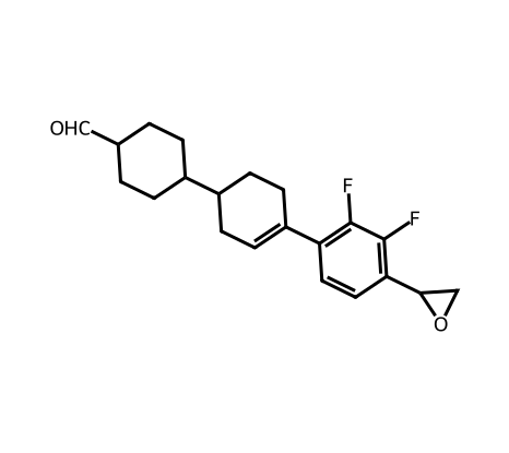 O=CC1CCC(C2CC=C(c3ccc(C4CO4)c(F)c3F)CC2)CC1